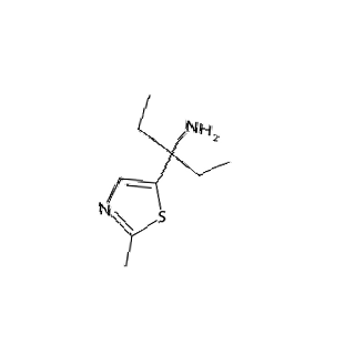 CCC(N)(CC)c1cnc(C)s1